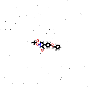 CC(C)(C)C(=O)ON1CCC(c2ccc(OCc3ccccc3)cc2)C(C=O)C1